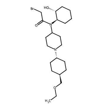 CCOC[C@H]1CC[C@H](N2CCC(N(C(=O)CBr)[C@@H]3CCCC[C@H]3O)CC2)CC1